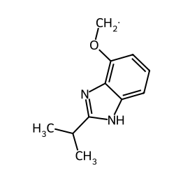 [CH2]Oc1cccc2[nH]c(C(C)C)nc12